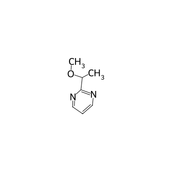 COC(C)c1ncccn1